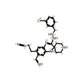 [N-]=[N+]=NCc1cc2c(cc1C=N)NC1(CCNCC1)C(NNCc1cccc(Cl)c1)=N2